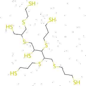 SCCCSCC(SCCCS)C(SCCCS)C(S)CSC(CS)CSCCS